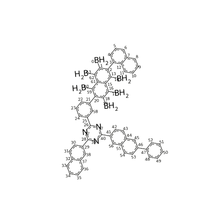 Bc1c(-c2cccc3ccccc23)c(B)c2c(B)c(B)c(-c3cccc(-c4nc(-c5ccc6ccccc6c5)nc(-c5ccc6cc(-c7ccccc7)ccc6c5)n4)c3)c(B)c2c1B